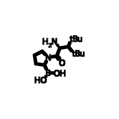 CC(C)(C)C([C@H](N)C(=O)N1CCCC1B(O)O)C(C)(C)C